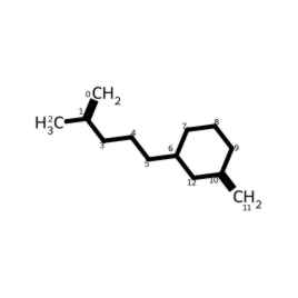 C=C(C)CCCC1CCCC(=C)C1